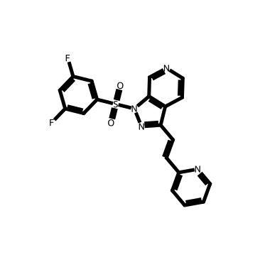 O=S(=O)(c1cc(F)cc(F)c1)n1nc(C=Cc2ccccn2)c2ccncc21